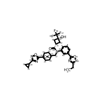 CCc1noc(-c2cccc(N(CC34CCC(c5nc(C6CC6)no5)(CC3)CC4)C(=O)[C@H]3C[C@](O)(C(F)(F)F)C3)c2)n1